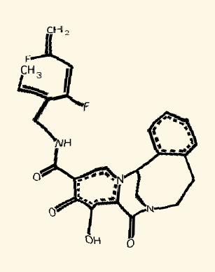 C=C(F)/C=C(F)\C(=C/C)CNC(=O)c1cn2c(c(O)c1=O)C(=O)N1CCc3ccccc3C2C1